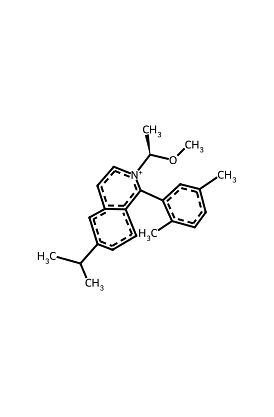 CO[C@H](C)[n+]1ccc2cc(C(C)C)ccc2c1-c1cc(C)ccc1C